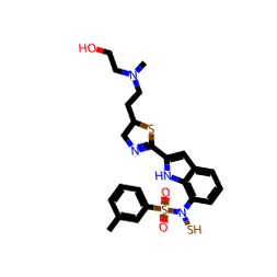 Cc1cccc(S(=O)(=O)N(S)c2cccc3cc(C4=NCC(CCN(C)CCO)S4)[nH]c23)c1